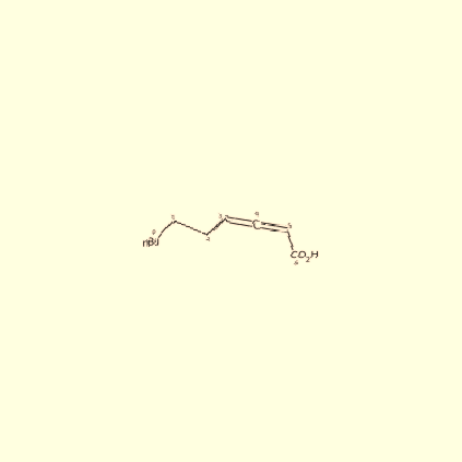 CCCCCCC=C=CC(=O)O